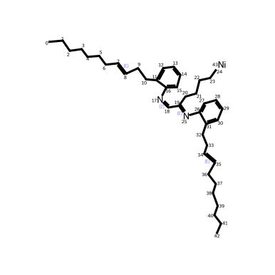 CCCCCCC/C=C/CCc1ccccc1/N=C\C(CCCCC)=N\c1ccccc1CC/C=C/CCCCCCC.[Ni]